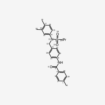 Cc1ccc(C(=O)Nc2ccc(CN(c3ccc(C)c(C)c3)S(=O)(=O)C(C)C)cc2)cc1